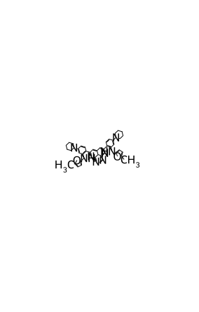 Cc1ccc(Nc2cc(N3CCCCC3)ccc2C2=CC3=CC(c4ccc(N5CCCCC5)cc4Nc4ccc(C)o4)=NC4=NC=NC(=N2)C34)o1